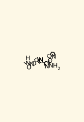 CCNC(=O)N1CCC2(CCn3nc(-c4cnc(N)c(OC5CCc6cccnc65)c4)cc32)C1